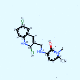 Cn1c(C#N)ccc(NCC2=Cc3cc(Cl)ccc3NC2Cl)c1=O